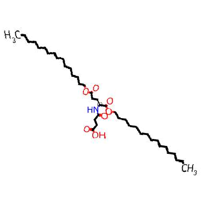 CCCCCCCCCCCCCCCCOC(=O)CC[C@H](NC(=O)CCC(=O)O)C(=O)OCCCCCCCCCCCCCCCC